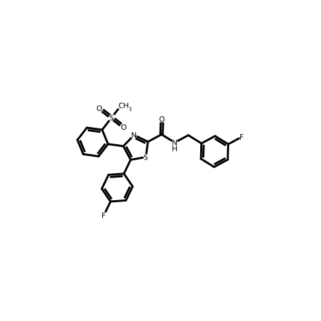 CS(=O)(=O)c1ccccc1-c1nc(C(=O)NCc2cccc(F)c2)sc1-c1ccc(F)cc1